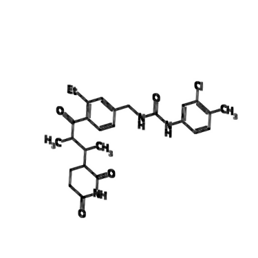 CCc1cc(CNC(=O)Nc2ccc(C)c(Cl)c2)ccc1C(=O)C(C)C(C)C1CCC(=O)NC1=O